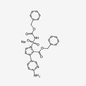 Nc1ccc(-c2ccn(S(=O)(=O)NC(=O)OCc3ccccc3)c2C(=O)OCc2ccccc2)cn1.[Na]